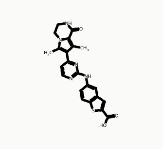 Cc1c(-c2ccnc(Nc3ccc4sc(C(=O)O)cc4c3)n2)c(C)n2c1C(=O)NCC2